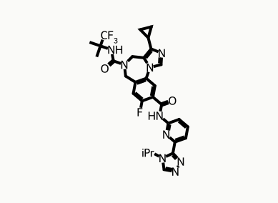 CC(C)n1cnnc1-c1cccc(NC(=O)c2cc3c(cc2F)CN(C(=O)NC(C)(C)C(F)(F)F)Cc2c(C4CC4)ncn2-3)n1